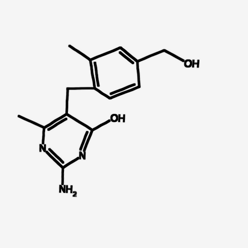 Cc1cc(CO)ccc1Cc1c(C)nc(N)nc1O